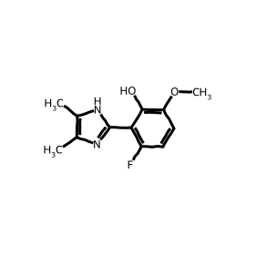 COc1ccc(F)c(-c2nc(C)c(C)[nH]2)c1O